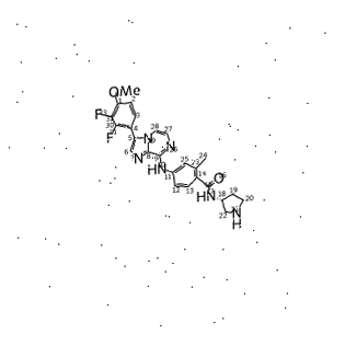 COc1ccc(-c2cnc3c(Nc4ccc(C(=O)N[C@@H]5CCNC5)c(C)c4)nccn23)c(F)c1F